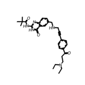 CCN(CC)CCC(=O)c1ccc(C#CCNCc2ccc3nc(NC(=O)C(C)(C)C)[nH]c(=O)c3c2)cc1